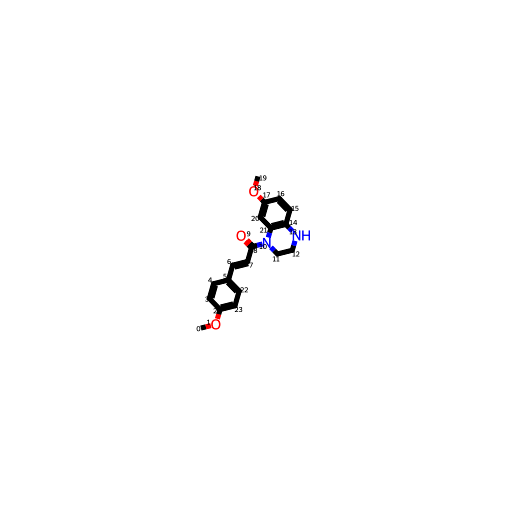 COc1ccc(C=CC(=O)N2CCNc3ccc(OC)cc32)cc1